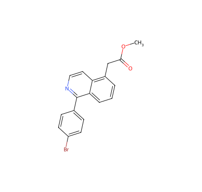 COC(=O)Cc1cccc2c(-c3ccc(Br)cc3)nccc12